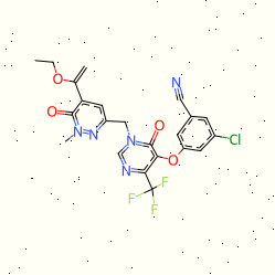 C=C(OCC)c1cc(Cn2cnc(C(F)(F)F)c(Oc3cc(Cl)cc(C#N)c3)c2=O)nn(C)c1=O